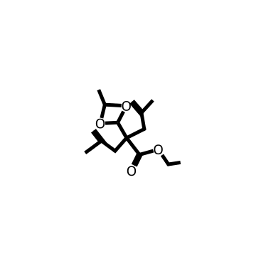 C=C(C)CC(CC(=C)C)(C(=O)OCC)C1OC(C)O1